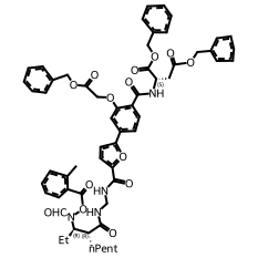 CCCCC[C@@H](C(=O)NCNC(=O)c1ccc(-c2ccc(C(=O)N[C@@H](CC(=O)OCc3ccccc3)C(=O)OCc3ccccc3)c(OCC(=O)OCc3ccccc3)c2)o1)[C@@H](CC)N(C=O)OC(=O)c1ccccc1C